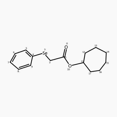 O=C(C[Se]c1ccccc1)OC1CCCCCC1